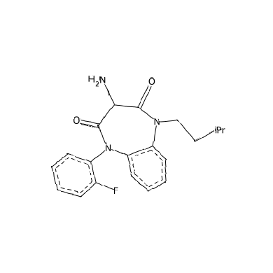 CC(C)CCN1C(=O)C(N)C(=O)N(c2ccccc2F)c2ccccc21